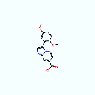 COc1ccc(OC)c(-c2cnc3cc(C(=O)O)ccn23)c1